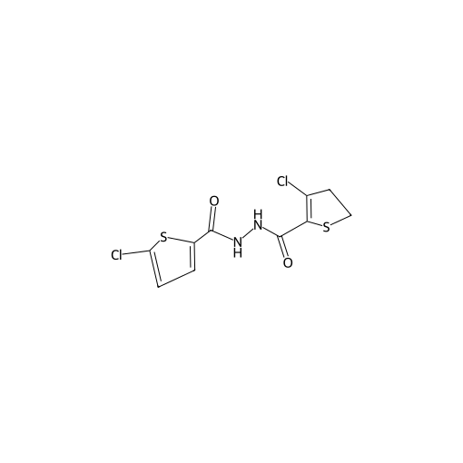 O=C(NNC(=O)c1ccc(Cl)s1)C1=C(Cl)CCS1